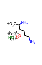 Cl.NCCCCC(N)C(=O)O.O=C([O-])O.O=C([O-])O.[Ca+2]